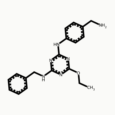 CCOc1nc(NCc2ccccc2)nc(Nc2ccc(CN)cc2)n1